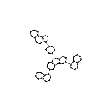 c1ccc2c(-c3ccc4c(c3)c3cc(-c5cccc6ccccc56)ccc3n4-c3ccc(-c4nnc5c6ccccc6ccn45)cc3)cccc2c1